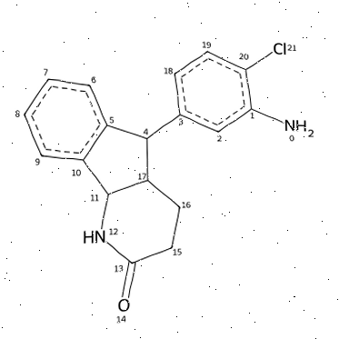 Nc1cc(C2c3ccccc3C3NC(=O)CCC32)ccc1Cl